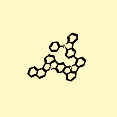 c1ccc(-n2c3ccccc3c3cc(-c4cccc5c6cccc7c8cc9c(cc8n(c45)c76)c4cccc5c6c7ccccc7ccc6n9c45)ccc32)cc1